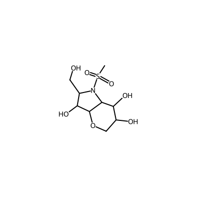 CS(=O)(=O)N1C(CO)C(O)C2OCC(O)C(O)C21